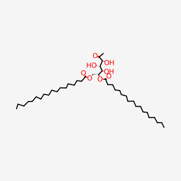 CCCCCCCCCCCCCCCCCC(=O)OC[C@@H](OC(=O)CCCCCCCCCCCCCCCCC)[C@@H](O)[C@H](O)[C@@H](O)C(C)=O